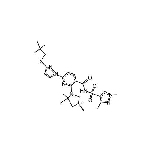 Cc1nn(C)cc1S(=O)(=O)NC(=O)c1ccc(-n2ccc(SCC(C)(C)C)n2)nc1N1C[C@@H](C)CC1(C)C